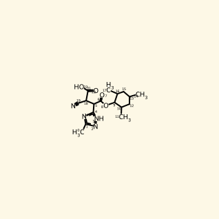 Cc1n[nH]c(C(C(=O)OC2C(C)CC(C)CC2C)C(C#N)C(=O)O)n1